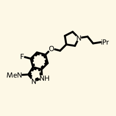 CNc1n[nH]c2cc(OCC3CCN(CCC(C)C)C3)cc(F)c12